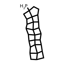 PC12CCC3C4C5C6C7C8C9CC%10CC%11C%12C%13C%14C%15C%16C(C1)C32C4%16C5%15C6%14C7%13C8%12C%109%11